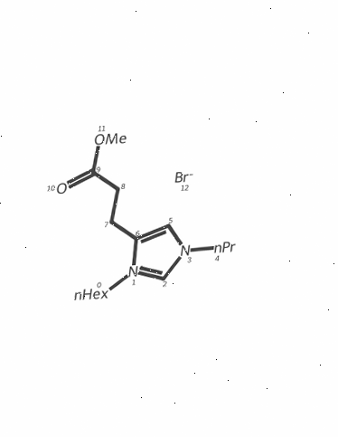 CCCCCC[n+]1cn(CCC)cc1CCC(=O)OC.[Br-]